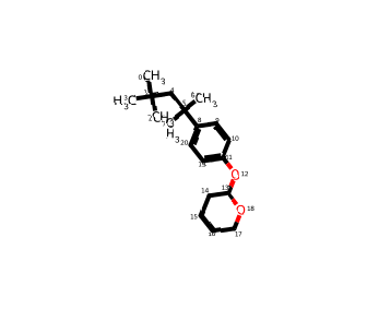 CC(C)(C)CC(C)(C)c1c[c]c(OC2CCCCO2)cc1